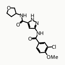 COc1ccc(C(=O)Nc2cc(C(=O)NC3CCOC3)[nH]n2)cc1Cl